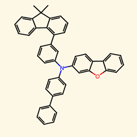 CC1(C)c2ccccc2-c2c(-c3cccc(N(c4ccc(-c5ccccc5)cc4)c4ccc5c(c4)oc4ccccc45)c3)cccc21